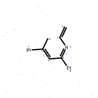 C=C/N=C(\C=C(/C)C(C)C)CC